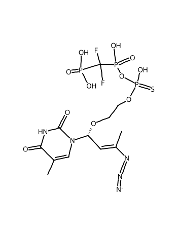 C/C(=C\[C@@H](OCCOP(O)(=S)OP(=O)(O)C(F)(F)P(=O)(O)O)n1cc(C)c(=O)[nH]c1=O)N=[N+]=[N-]